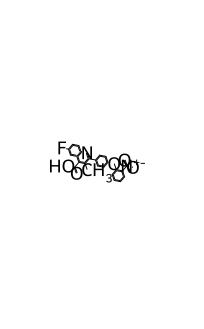 Cc1c(-c2ccc(Oc3ccccc3[N+](=O)[O-])cc2)nc2ccc(F)cc2c1C(=O)O